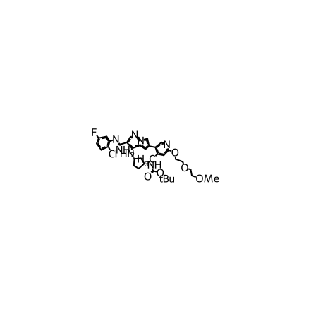 COCCOCCOc1cc(C)c(-c2cc3c(N[C@@H]4CC[C@H](NC(=O)OC(C)(C)C)C4)c(/C(N)=N/c4cc(F)ccc4Cl)cnn3c2)cn1